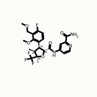 COCc1c(F)ccc([C@H]2[C@H](C(=O)Nc3ccnc(C(N)=O)c3)O[C@@](C)(C(F)(F)F)[C@H]2C)c1OC